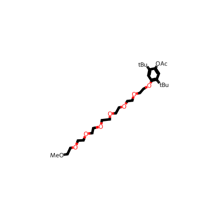 COCCOCCOCCOCCOCCOCCOCCOc1cc(C(C)(C)C)c(OC(C)=O)cc1C(C)(C)C